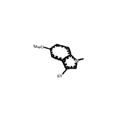 CCc1cn(C)c2ccc(OC)cc12